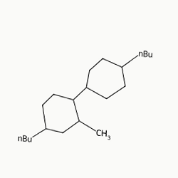 CCCCC1CCC(C2CCC(CCCC)CC2C)CC1